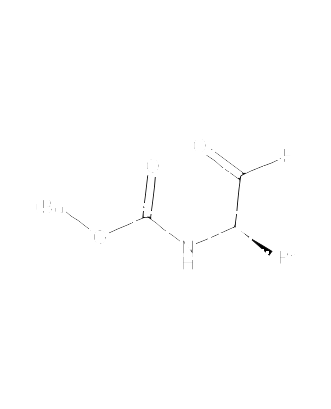 CC(C)[C@@H](NC(=O)OC(C)(C)C)C(=O)F